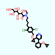 CCN(CCCCc1cc(Cl)c(COC2(c3cnccc3-c3ccccc3OC3CC3)CC2)cc1Cl)C(=O)C(O)C(O)C(O)C(O)CO